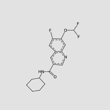 O=C(NC1CCCCC1)c1cnc2cc(OC(F)F)c(F)cc2c1